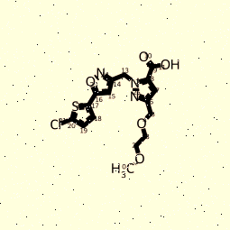 COCCOCc1cc(C(=O)O)n(Cc2cc(-c3ccc(Cl)s3)on2)n1